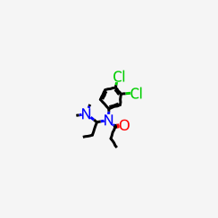 CCC(=O)N(c1ccc(Cl)c(Cl)c1)C(CC)N(C)C